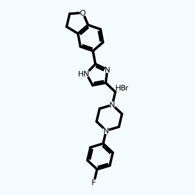 Br.Fc1ccc(N2CCN(Cc3c[nH]c(-c4ccc5c(c4)CCO5)n3)CC2)cc1